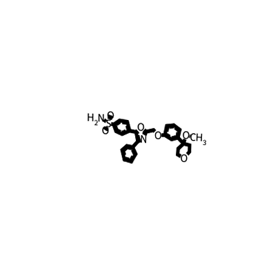 COC1(c2cccc(OCc3nc(-c4ccccc4)c(-c4ccc(S(N)(=O)=O)cc4)o3)c2)CCOCC1